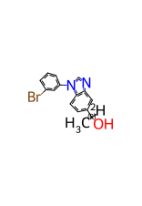 [2H][C@](C)(O)c1ccc2c(c1)ncn2-c1cccc(Br)c1